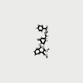 CO/C=C(\C(=O)OC)c1ccccc1COc1ccc(/C=N/OC(C)c2ccccc2)cc1C